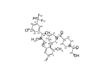 Cc1cc(F)ccc1[C@@H]1CN(C(=O)C2CCN(C(=O)CO)CC2)CC[C@H]1C(=O)N(C)C(C)c1cc(Cl)cc(C(F)(F)F)c1